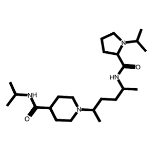 CC(C)NC(=O)C1CCN(C(C)CCC(C)NC(=O)C2CCCN2C(C)C)CC1